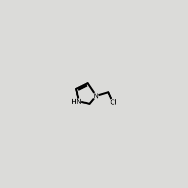 ClCN1C=CNC1